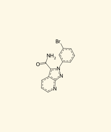 NC(=O)c1c2cccnc2nn1-c1cccc(Br)c1